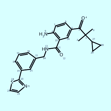 CC(C)(C(=O)c1ccc(N)c(C(=O)NCc2cccc(-c3nccs3)c2)c1)C1CC1